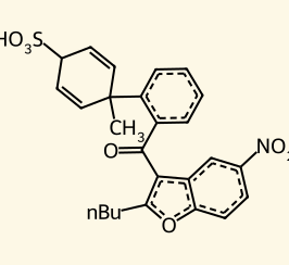 CCCCc1oc2ccc([N+](=O)[O-])cc2c1C(=O)c1ccccc1C1(C)C=CC(S(=O)(=O)O)C=C1